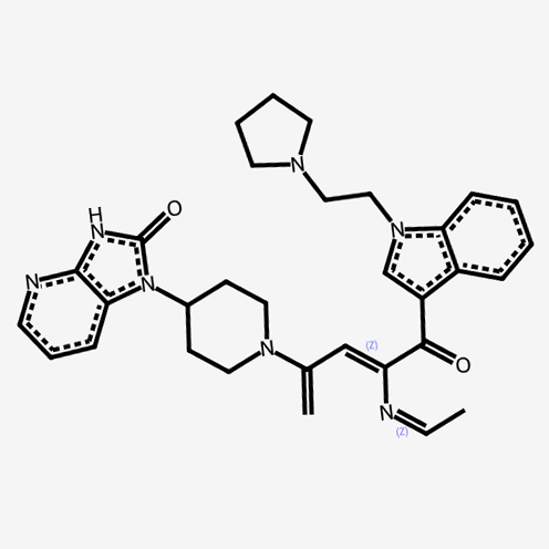 C=C(/C=C(\N=C/C)C(=O)c1cn(CCN2CCCC2)c2ccccc12)N1CCC(n2c(=O)[nH]c3ncccc32)CC1